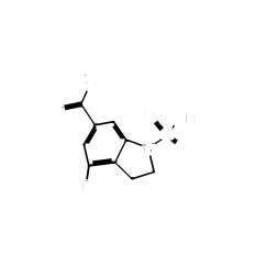 COC(=O)c1cc(F)c2c(c1)N(S(C)(=O)=O)CC2